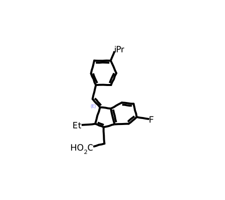 CCC1=C(CC(=O)O)c2cc(F)ccc2/C1=C\c1ccc(C(C)C)cc1